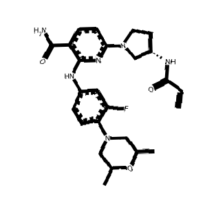 C=CC(=O)N[C@H]1CCN(c2ccc(C(N)=O)c(Nc3ccc(N4CC(C)OC(C)C4)c(F)c3)n2)C1